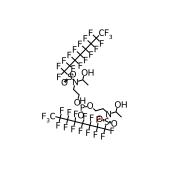 CC(O)N(CCO[PH](=O)OCCN(C(C)O)S(=O)(=O)C(F)(F)C(F)(F)C(F)(F)C(F)(F)C(F)(F)C(F)(F)C(F)(F)C(F)(F)F)S(=O)(=O)C(F)(F)C(F)(F)C(F)(F)C(F)(F)C(F)(F)C(F)(F)C(F)(F)C(F)(F)F